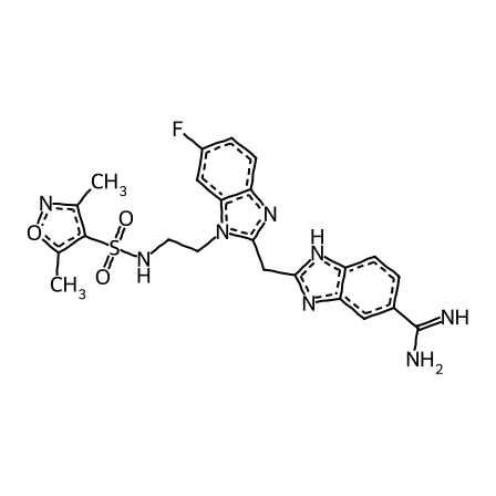 Cc1noc(C)c1S(=O)(=O)NCCn1c(Cc2nc3cc(C(=N)N)ccc3[nH]2)nc2ccc(F)cc21